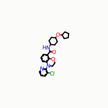 O=C(NC1CCC(OC2CCCC2)CC1)c1cccc2c1OCCN2c1ncccc1Cl